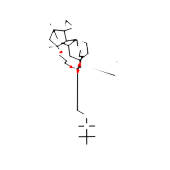 CC1CC[C@@]23COC[C@H](I)[C@H](C)CCO[C@@H]([C@@H](C)O[Si](C)(C)C(C)(C)C)CCCCCO[C@@H]4C[C@@H](O[C@@H]2C1)[C@@]1(CO1)[C@]43C